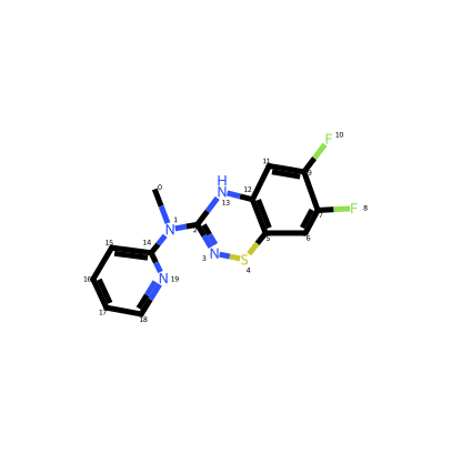 CN(C1=NSc2cc(F)c(F)cc2N1)c1ccccn1